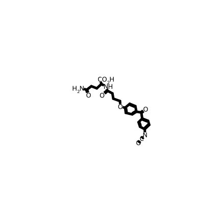 NC(=O)CCC(NC(=O)CCCOc1ccc(C(=O)c2ccc(N=C=O)cc2)cc1)C(=O)O